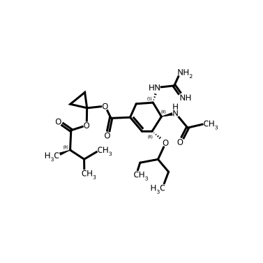 CCC(CC)O[C@@H]1C=C(C(=O)OC2(OC(=O)[C@H](C)C(C)C)CC2)C[C@H](NC(=N)N)[C@H]1NC(C)=O